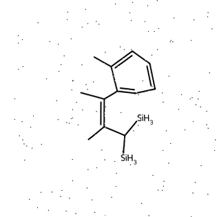 CC(=C(C)C([SiH3])[SiH3])c1ccccc1C